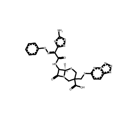 Nc1nc(C(=NOc2ccccc2)C(=O)NC2C(=O)N3CC(CSc4ccc5nnnn5n4)(C(=O)O)CS[C@H]23)ns1